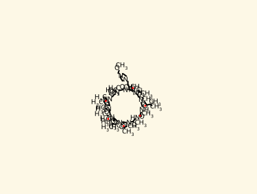 CC[C@@H]1NC(=O)[C@H]([C@H](O)[C@H](C)CC)N(C)C(=O)[C@H](C(C)C)N(C)C(=O)[C@H](CC(C)C)N(C)C(=O)[C@H](CC(C)C)N(C)C(=O)[C@@H](C)NC(=O)[C@H](C)NC(=O)[C@H](CCC(C)C)N(C)C(=O)[C@H](C(C)C)NC(=O)[C@H]([C@H](C)CCN2CCN(CCOC)CC2)N(C)C(=O)[C@@H](C)N(C)C1=O